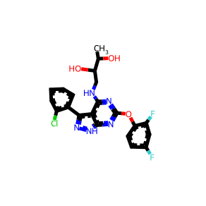 CC(O)C(O)CNc1nc(Oc2ccc(F)cc2F)nc2[nH]nc(-c3ccccc3Cl)c12